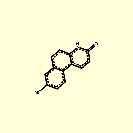 O=c1ccc2c(ccc3cc(Br)ccc32)[nH]1